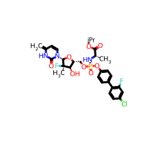 C=C1C=CN([C@@H]2O[C@H](COP(=O)(N[C@@H](C)C(=O)OC(C)C)Oc3ccc(-c4ccc(Cl)cc4F)cc3)[C@@H](O)[C@@]2(C)F)C(=O)N1